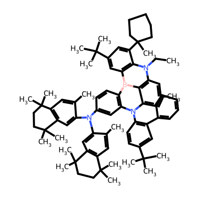 CCN1c2cc(C)cc3c2B(c2ccc(N(c4cc5c(cc4C)C(C)(C)CCC5(C)C)c4cc5c(cc4C)C(C)(C)CCC5(C)C)cc2N3c2ccc(C(C)(C)C)cc2-c2ccccc2)c2cc(C(C)(C)C)cc(C3(C)CCCCC3)c21